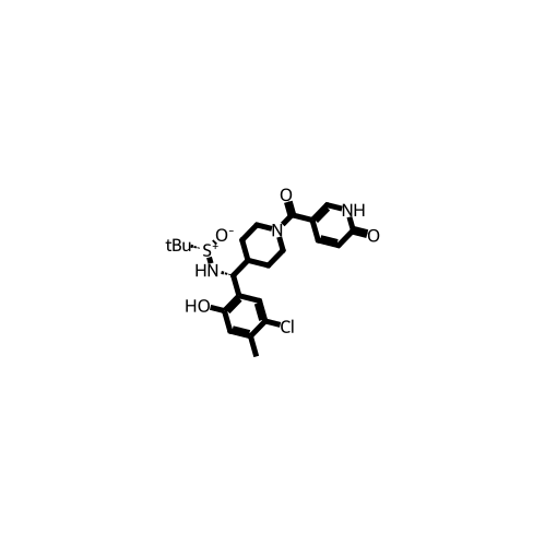 Cc1cc(O)c([C@H](N[S@@+]([O-])C(C)(C)C)C2CCN(C(=O)c3ccc(=O)[nH]c3)CC2)cc1Cl